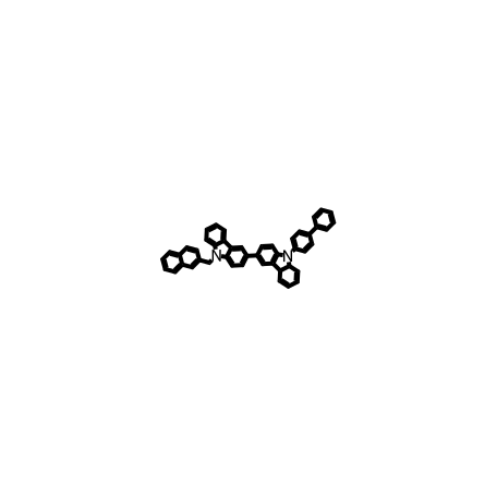 C1=CC2c3cc(-c4ccc5c(c4)c4ccccc4n5Cc4ccc5ccccc5c4)ccc3N(c3ccc(-c4ccccc4)cc3)C2C=C1